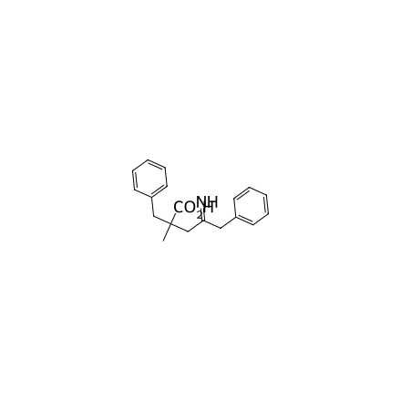 CC(CC(=N)Cc1ccccc1)(Cc1ccccc1)C(=O)O